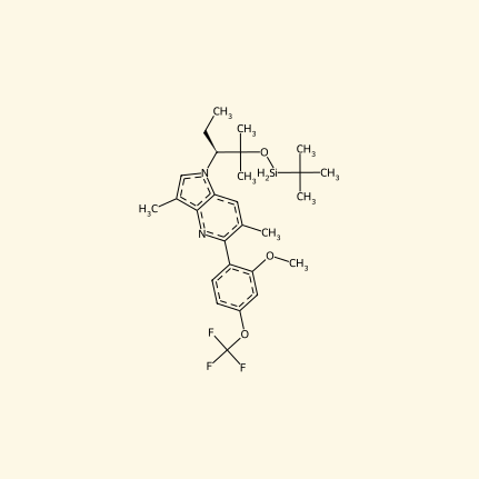 CC[C@H](n1cc(C)c2nc(-c3ccc(OC(F)(F)F)cc3OC)c(C)cc21)C(C)(C)O[SiH2]C(C)(C)C